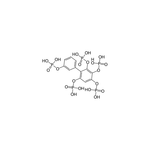 O=P(O)(O)Oc1cccc(-c2c(OP(=O)(O)O)cc(OP(=O)(O)O)c(OP(=O)(O)O)c2OP(=O)(O)O)c1